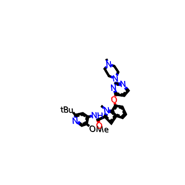 COc1cnc(C(C)(C)C)cc1NC(=O)c1cc2cccc(Oc3ccnc(N4CCN(C)CC4)n3)c2n1C